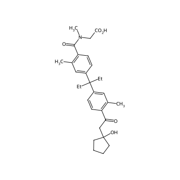 CCC(CC)(c1ccc(C(=O)CC2(O)CCCC2)c(C)c1)c1ccc(C(=O)N(C)CC(=O)O)c(C)c1